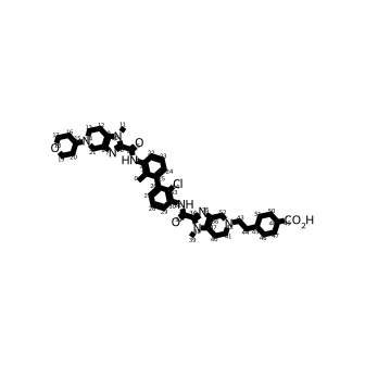 Cc1c(NC(=O)c2nc3c(n2C)CCN(C2CCOCC2)C3)cccc1-c1cccc(NC(=O)c2nc3c(n2C)CCN(CCC2CCC(C(=O)O)CC2)C3)c1Cl